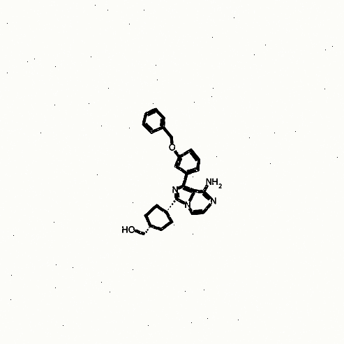 Nc1nccn2c1c(-c1cccc(OCc3ccccc3)c1)nc2[C@H]1CC[C@@H](CO)CC1